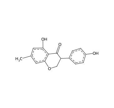 Cc1cc(O)c2c(c1)OCC(c1ccc(O)cc1)C2=O